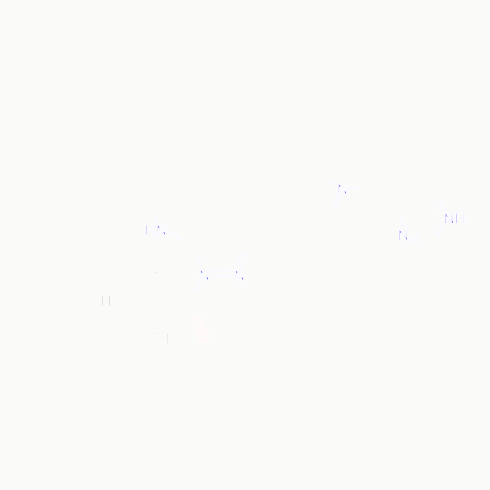 CC(C)(C)C(=O)n1nc(C2CCN(Cc3c[nH]cn3)CC2)cc1NCc1ccc(Cl)s1